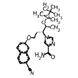 C[C@H](O[Si](C)(C)C(C)(C)C)[C@@H](CCOc1ccc2ccc(C#N)cc2c1)n1cnc(C(N)=O)c1